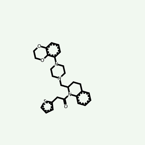 O=C(Cc1cccs1)N1c2ccccc2CCC1CN1CCN(c2cccc3c2OCCO3)CC1